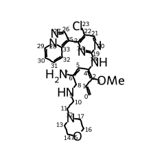 C=C/C(OC)=C(\C=C(\N)CNCCN1CCOCC1)Nc1ncc(Cl)c(-c2cnn3ccccc23)n1